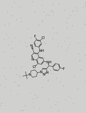 CC(C)(C)N1CCC(n2cc([C@@H](Nc3cc(Cl)c4ncc(C#N)c(Nc5ccc(F)c(Cl)c5)c4c3)c3ccc(F)cc3)nn2)CC1